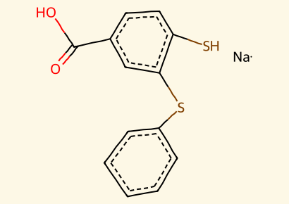 O=C(O)c1ccc(S)c(Sc2ccccc2)c1.[Na]